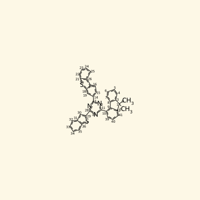 CC1(C)c2ccccc2-c2c(-c3nc(-c4ccc5c(c4)sc4ccccc45)nc(-c4cc5ccccc5s4)n3)cccc21